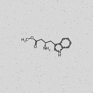 COC(=O)C[C@H](N)Cc1c[nH]c2ccccc12